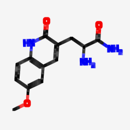 COc1ccc2[nH]c(=O)c(CC(N)C(N)=O)cc2c1